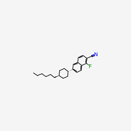 CCCCCC[C@H]1CC[C@H](c2ccc3c(F)c(C#N)ccc3c2)CC1